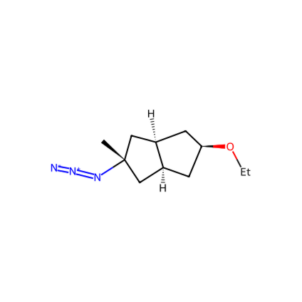 CCO[C@@H]1C[C@@H]2C[C@@](C)(N=[N+]=[N-])C[C@@H]2C1